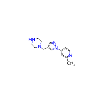 Cc1cc(-n2cc(CN3CCNCC3)cn2)ccn1